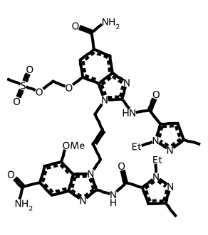 CCn1nc(C)cc1C(=O)Nc1nc2cc(C(N)=O)cc(OC)c2n1C/C=C/Cn1c(NC(=O)c2cc(C)nn2CC)nc2cc(C(N)=O)cc(OCOS(C)(=O)=O)c21